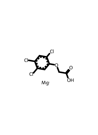 O=C(O)COc1cc(Cl)c(Cl)cc1Cl.[Mg]